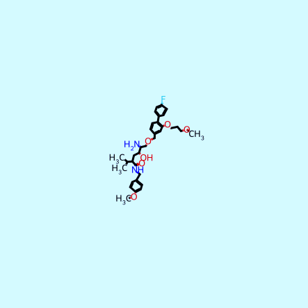 COCCCOc1cc(COCC(N)C(O)CC(C(=O)NCc2ccc(OC)cc2)C(C)C)ccc1-c1ccc(F)cc1